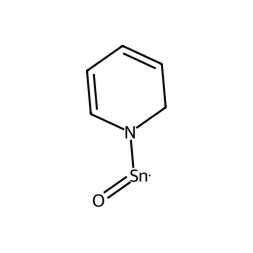 [O]=[Sn][N]1C=CC=CC1